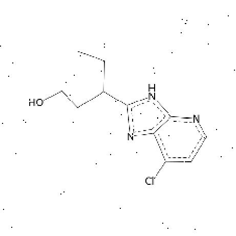 CCC(CCO)c1nc2c(Cl)ccnc2[nH]1